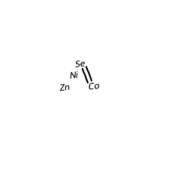 [Co]=[Se].[Ni].[Zn]